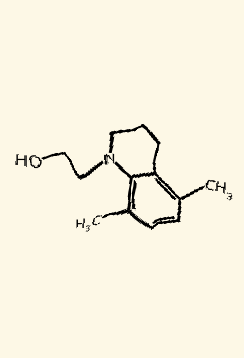 Cc1ccc(C)c2c1CCCN2CCO